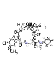 COc1ccc(C[C@H]2NC(=O)/C=C/C[C@@H]([C@H](C)/C=C/c3cccnc3)OC(=O)[C@H](CC(C)C)OC(=O)C(C)(C)CNC2=O)cc1Cl